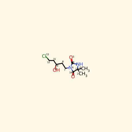 CC1(C)NC(=O)N(CCC(O)CCCl)C1=O